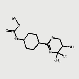 CCC1(C)N=C(C2CCC(NC(=O)OC(C)C)CC2)SCC1N